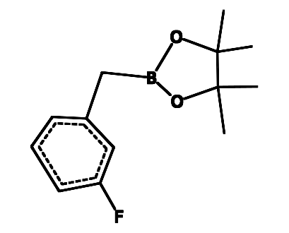 CC1(C)OB(Cc2cccc(F)c2)OC1(C)C